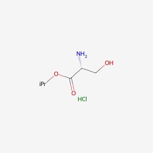 CC(C)OC(=O)[C@H](N)CO.Cl